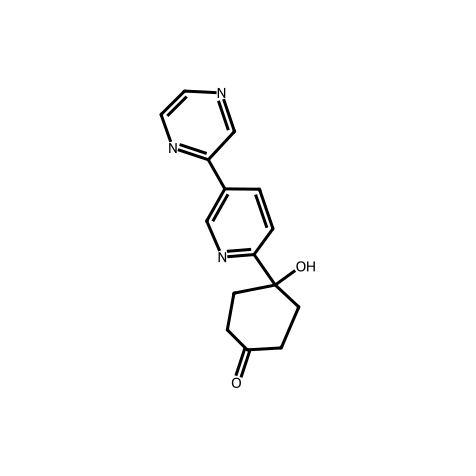 O=C1CCC(O)(c2ccc(-c3cnccn3)cn2)CC1